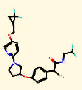 CC(C(=O)NCC(F)F)c1ccc(OC2CCN(c3ccc(OCC4CC4(F)F)cn3)C2)cc1